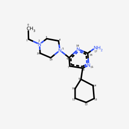 CCN1CCN(c2cc(C3CCCCC3)nc(N)n2)CC1